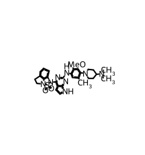 COc1cc(N2CCC(N(C)C)CC2)c(C)cc1Nc1nc(N2c3cccc4c3N(CC4)S2(=O)=O)c2cc[nH]c2n1